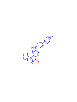 CC(C)n1c(=O)c2cnc(Nc3ccc(N4CCN(C)CC4)cc3)nc2n1-c1ccccn1